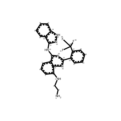 NCCNc1cccc2c(Nc3n[nH]c4ccccc34)nc(-c3ccccc3C(F)(F)F)nc12